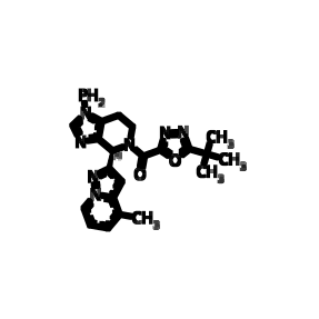 Cc1cccn2nc([C@H]3c4ncn(P)c4CCN3C(=O)c3nnc(C(C)(C)C)o3)cc12